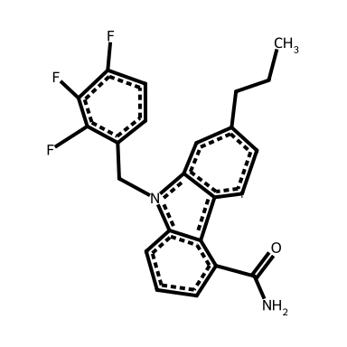 CCCc1c[c]c2c3c(C(N)=O)cccc3n(Cc3ccc(F)c(F)c3F)c2c1